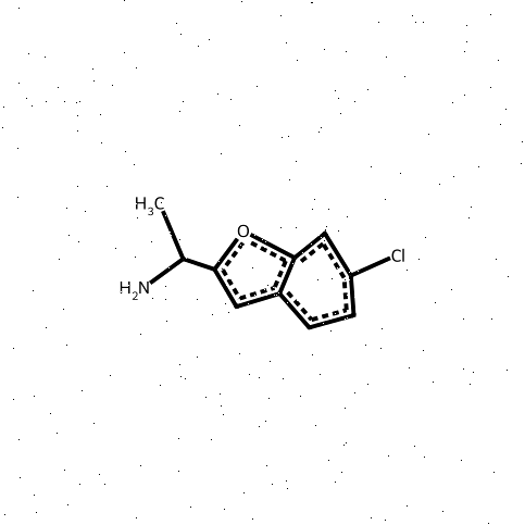 CC(N)c1cc2ccc(Cl)cc2o1